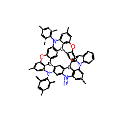 Cc1cc(C)c(N2c3cc4c(cc3B3c5cc6c(cc5Oc5cc(C)cc2c53)N(c2c(C)cc(C)cc2C)c2cc(C)cc3c2B6c2ccccc2O3)B2c3c(cc(C)cc3-n3c5ccccc5c5cccc2c53)N4)c(C)c1